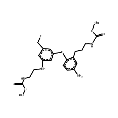 CC(C)(C)OC(=O)NCCCc1cc(N)ccc1Oc1cc(CF)cc(NCCNC(=O)OC(C)(C)C)c1